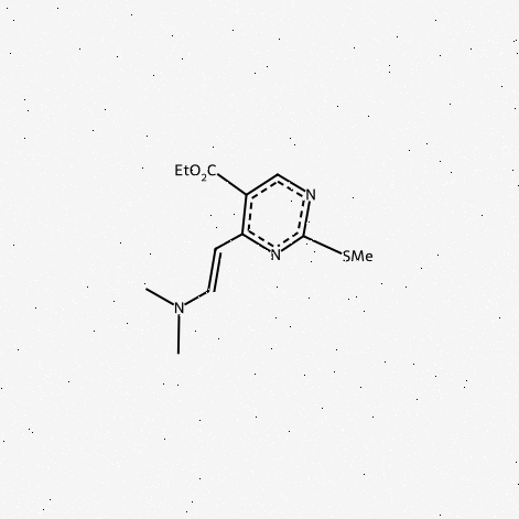 CCOC(=O)c1cnc(SC)nc1C=CN(C)C